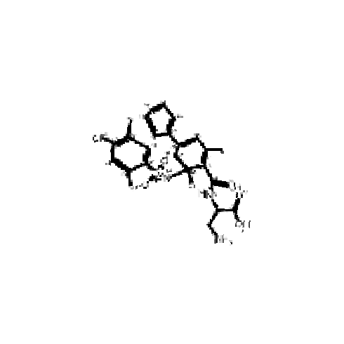 CC1=C(C(=O)NC(CN)C(=O)O)C(C)(NS(=O)(=O)c2cc(C)c(Cl)cc2C)CC(c2ccccc2)=C1